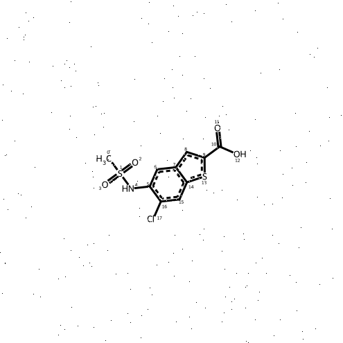 CS(=O)(=O)Nc1cc2cc(C(=O)O)sc2cc1Cl